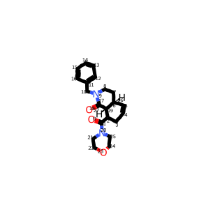 O=C(C1CC=C[C@@H]2CCN(Cc3ccccc3)C(=O)[C@H]12)N1CCOCC1